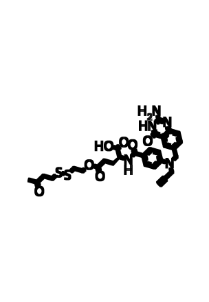 C#CCN(Cc1ccc2nc(N)[nH]c(=O)c2c1)c1ccc(C(=O)N[C@@H](CCC(=O)OCCSSCCC(C)=O)C(=O)O)cc1